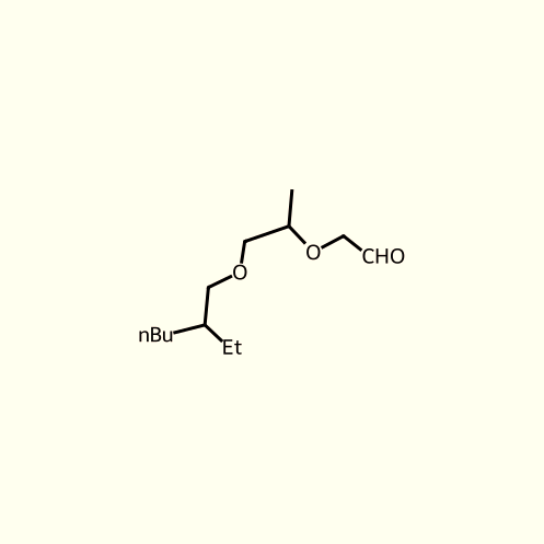 CCCCC(CC)COCC(C)OCC=O